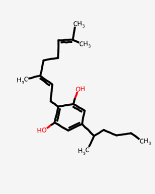 CCCCC(C)c1cc(O)c(C/C=C(\C)CCC=C(C)C)c(O)c1